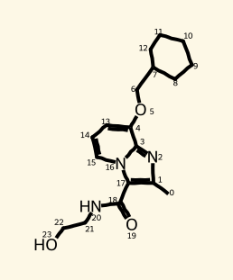 Cc1nc2c(OCC3CCCCC3)cccn2c1C(=O)NCCO